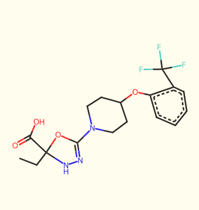 CCC1(C(=O)O)NN=C(N2CCC(Oc3ccccc3C(F)(F)F)CC2)O1